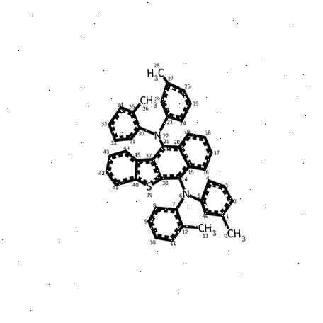 Cc1cccc(N(c2ccccc2C)c2c3ccccc3c(N(c3cccc(C)c3)c3ccccc3C)c3c2sc2ccccc23)c1